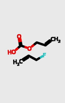 C=CCF.C=CCOC(=O)O